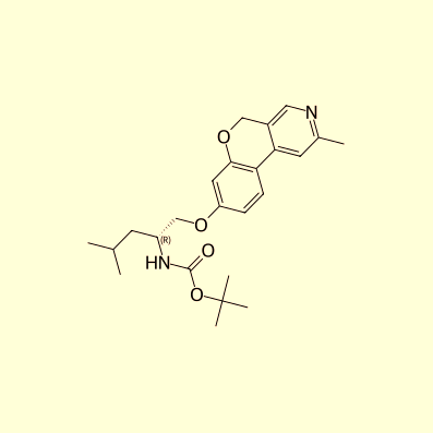 Cc1cc2c(cn1)COc1cc(OC[C@@H](CC(C)C)NC(=O)OC(C)(C)C)ccc1-2